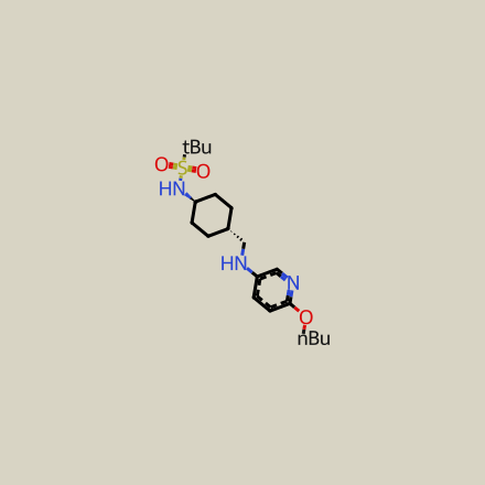 CCCCOc1ccc(NC[C@H]2CC[C@H](NS(=O)(=O)C(C)(C)C)CC2)cn1